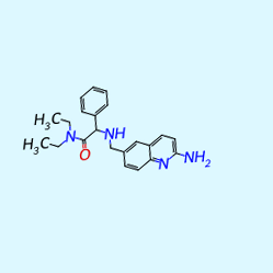 CCN(CC)C(=O)C(NCc1ccc2nc(N)ccc2c1)c1ccccc1